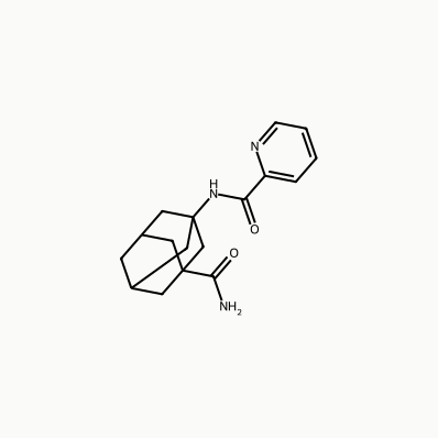 NC(=O)C12CC3CC(CC(NC(=O)c4ccccn4)(C3)C1)C2